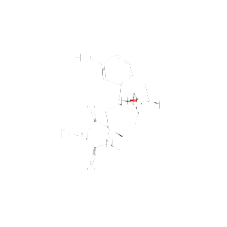 CCN1C(=O)N(CC)[C@]2(CC[C@@]3(O)[C@H]4Cc5ccc(O)cc5[C@@]3(CCN4)C2)C1=O